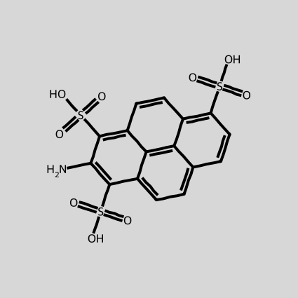 Nc1c(S(=O)(=O)O)c2ccc3ccc(S(=O)(=O)O)c4ccc(c1S(=O)(=O)O)c2c34